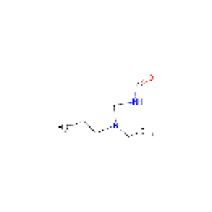 CCCN(CC)CNC=O